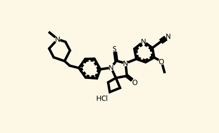 COc1cc(N2C(=O)C3(CCC3)N(c3ccc(CC4CCN(C)CC4)cc3)C2=S)cnc1C#N.Cl